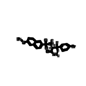 CC(C)Oc1ccc2cc(S(=O)(=O)N(C)[C@@H](C(N)=O)C(F)(F)c3ccc(Br)cc3)ccc2c1